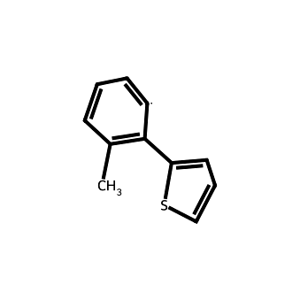 Cc1ccc[c]c1-c1cccs1